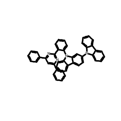 c1ccc(-c2cc(-c3ccccc3)nc(-c3ccccc3-n3c4ccccc4c4ccc(-n5c6ccccc6c6ccccc65)cc43)n2)cc1